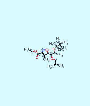 C=C(C)CO[C@@H](c1onc(C(=O)OCC)c1C)[C@H](C)O[Si](C)(C)C(C)(C)C